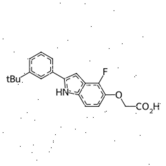 CC(C)(C)c1cccc(-c2cc3c(F)c(OCC(=O)O)ccc3[nH]2)c1